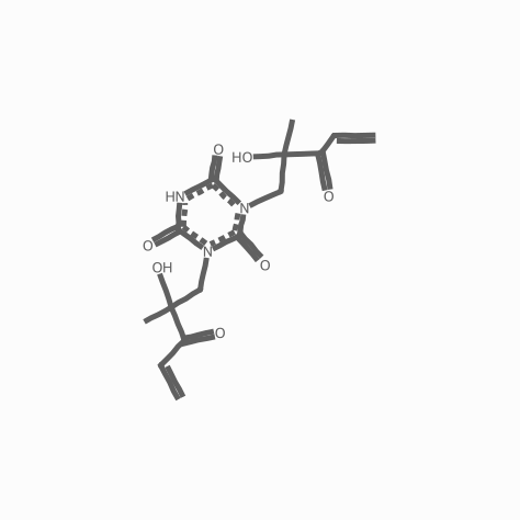 C=CC(=O)C(C)(O)Cn1c(=O)[nH]c(=O)n(CC(C)(O)C(=O)C=C)c1=O